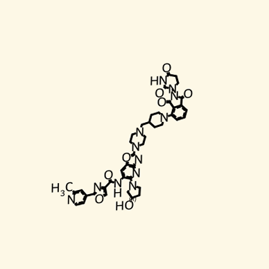 Cc1cc(-c2nc(C(=O)Nc3cc4oc(N5CCN(CC6CCN(c7cccc8c7C(=O)N(N7CCC(=O)NC7=O)C8=O)CC6)CC5)nc4nc3N3CC[C@@H](O)C3)co2)ccn1